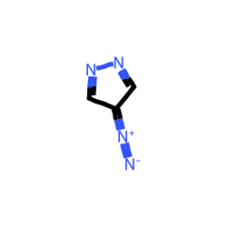 [N-]=[N+]=C1C=NN=C1